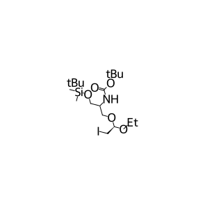 CCO[C@@H](CI)OCC(CO[Si](C)(C)C(C)(C)C)NC(=O)OC(C)(C)C